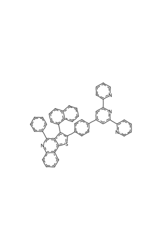 c1ccc(-c2nc3ccccc3c3sc(-c4ccc(-c5cc(-c6ccccn6)nc(-c6ccccn6)c5)cc4)c(-c4cccc5ccccc45)c23)cc1